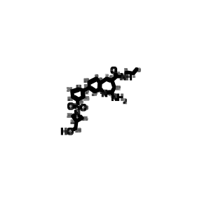 CCCNC(=O)C1=Cc2ccc(-c3cccc(S(=O)(=O)N4CC(CO)C4)c3)cc2N=C(N)C1